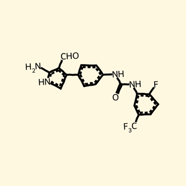 Nc1[nH]cc(-c2ccc(NC(=O)Nc3cc(C(F)(F)F)ccc3F)cc2)c1C=O